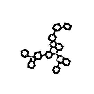 c1ccc(-c2cccc(-c3ccc4nc5c6c(cccc6c4c3)N(c3nc(-c4ccccc4)c4ccccc4n3)c3ccc(-c4ccc6c(c4)c4ccccc4n6-c4ccccc4)cc3-5)c2)cc1